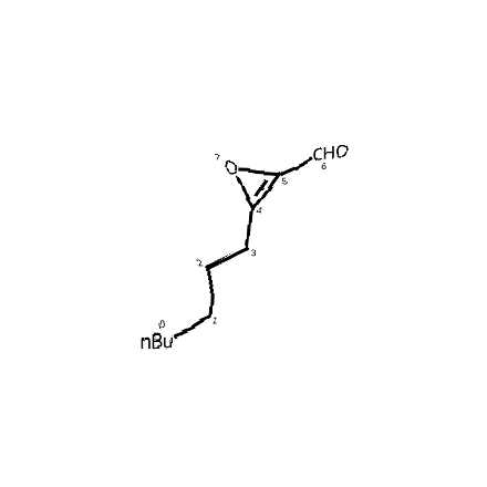 CCCCCCCC1=C(C=O)O1